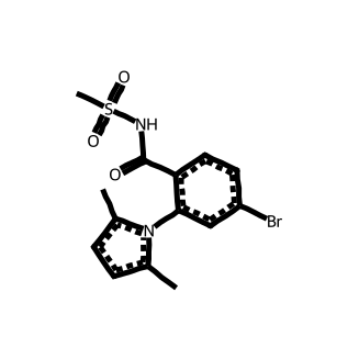 Cc1ccc(C)n1-c1cc(Br)ccc1C(=O)NS(C)(=O)=O